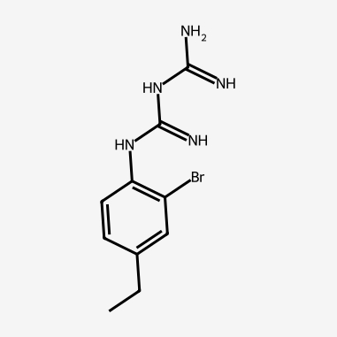 CCc1ccc(NC(=N)NC(=N)N)c(Br)c1